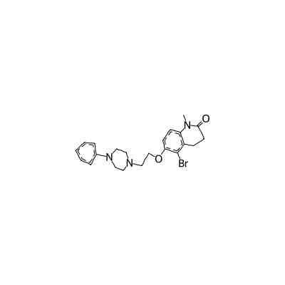 CN1C(=O)CCc2c1ccc(OCCN1CCN(c3ccccc3)CC1)c2Br